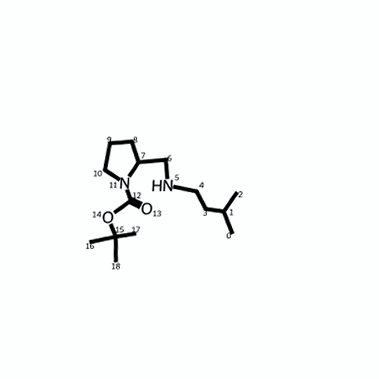 CC(C)CCNCC1CCCN1C(=O)OC(C)(C)C